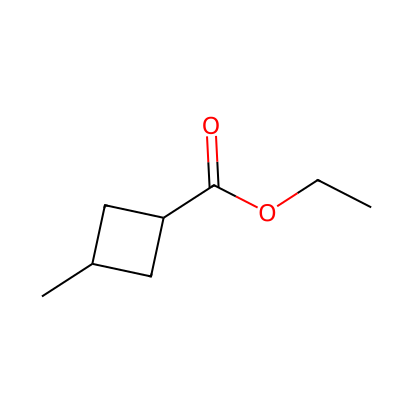 CCOC(=O)C1CC(C)C1